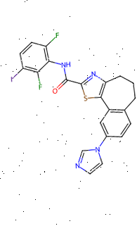 O=C(Nc1c(F)ccc(I)c1F)c1nc2c(s1)-c1cc(-n3ccnc3)ccc1CCC2